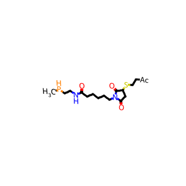 CPCCNC(=O)CCCCCN1C(=O)CC(SCCC(C)=O)C1=O